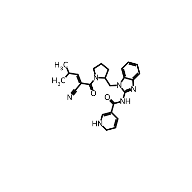 CC(C)/C=C(\C#N)C(=O)N1CCCC1Cn1c(NC(=O)C2=CNCC=C2)nc2ccccc21